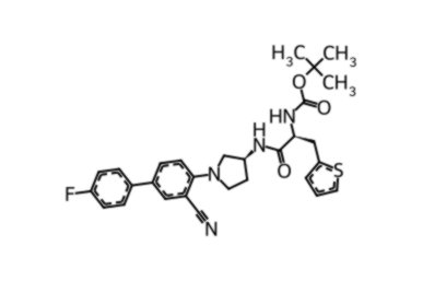 CC(C)(C)OC(=O)N[C@@H](Cc1cccs1)C(=O)N[C@H]1CCN(c2ccc(-c3ccc(F)cc3)cc2C#N)C1